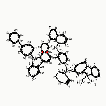 CC1(C)c2ccccc2-c2ccc(N(C3=CCCC=C3)c3ccc(N(c4ccccc4)c4cccc5ccccc45)c(-c4ccc5c(c4)c4ccccc4n5-c4ccc(-c5ccccc5)cc4)c3)cc21